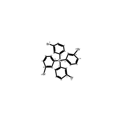 Brc1cccc([Si](c2cccc(Br)c2)(c2cccc(Br)c2)c2cccc(Br)c2)c1